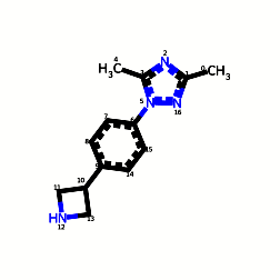 Cc1nc(C)n(-c2ccc(C3CNC3)cc2)n1